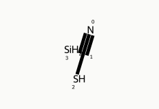 N#CS.[SiH4]